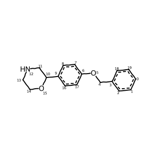 c1ccc(COc2ccc(C3CNCCO3)cc2)cc1